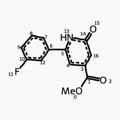 COC(=O)c1cc(-c2cccc(F)c2)[nH]c(=O)c1